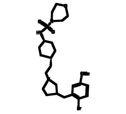 COc1ccc(Br)c(CC2CCN(CC[C@H]3CC[C@H](NS(=O)(=O)N4CCOCC4)CC3)C2)c1